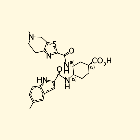 Cc1ccc2[nH]c(C(=O)N[C@H]3CC[C@H](C(=O)O)C[C@H]3NC(=O)c3nc4c(s3)CN(C)CC4)cc2c1